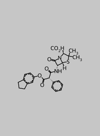 CC1(C)S[C@@H]2[C@H](NC(=O)[C@@H](C(=O)Oc3ccc4c(c3)CCC4)c3ccccc3)C(=O)N2[C@H]1C(=O)O